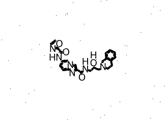 O=C(NC[C@H](O)CN1CCc2ccccc2C1)c1cn2cc(NC(=O)c3ncco3)ccc2n1